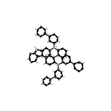 c1ccc(-c2cccc(N(c3cccc(-c4ccccc4)c3)c3ccccc3-c3ccccc3N(c3cccc(-c4ccccc4)c3)c3ccc4c(c3)oc3ccccc34)c2)cc1